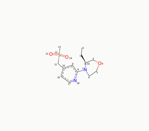 CC[C@H]1COCCN1c1cc(CS(C)(=O)=O)ccn1